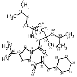 CC(C)COC(=O)N[C@@H](C(=O)N1C[C@H](C(=N)N)C[C@H]1C(=O)NCC1CCCCC1)C(C)(C)SC(C)C